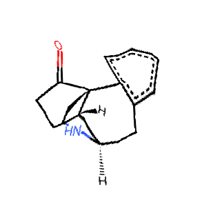 O=C1CC[C@H]2[C@H]3Cc4ccccc4[C@@]12CCN3